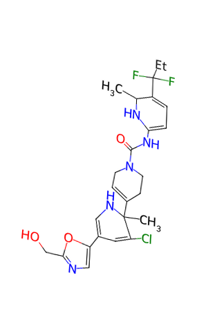 CCC(F)(F)C1=CC=C(NC(=O)N2CC=C(C3(C)NC=C(c4cnc(CO)o4)C=C3Cl)CC2)NC1C